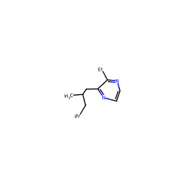 CCc1nccnc1CC(C)CC(C)C